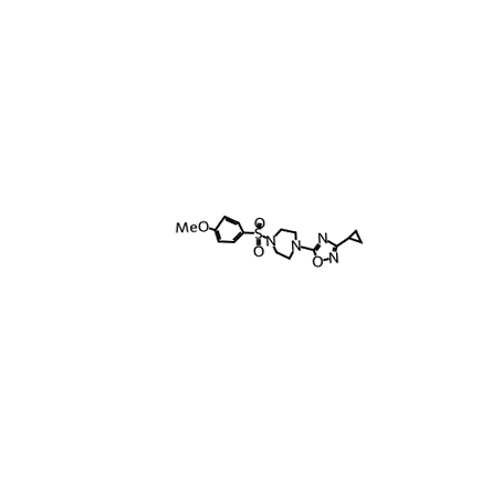 COc1ccc(S(=O)(=O)N2CCN(c3nc(C4CC4)no3)CC2)cc1